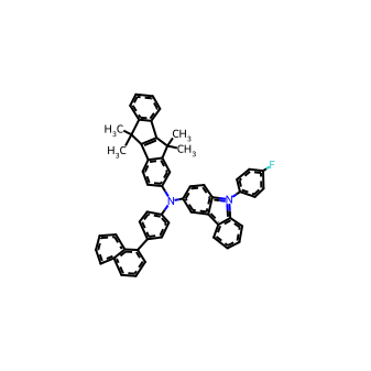 CC1(C)C2=C(c3ccccc31)C(C)(C)c1cc(N(c3ccc(-c4cccc5ccccc45)cc3)c3ccc4c(c3)c3ccccc3n4-c3ccc(F)cc3)ccc12